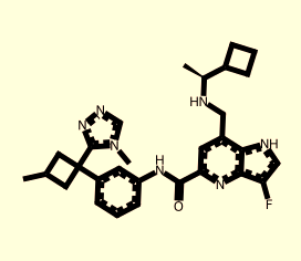 CC1CC(c2cccc(NC(=O)c3cc(CN[C@@H](C)C4CCC4)c4[nH]cc(F)c4n3)c2)(c2nncn2C)C1